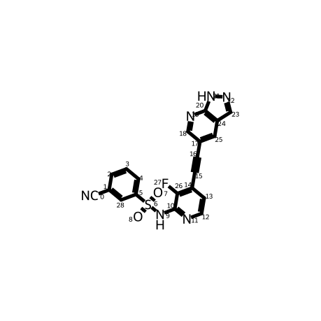 N#Cc1cccc(S(=O)(=O)Nc2nccc(C#Cc3cnc4[nH]ncc4c3)c2F)c1